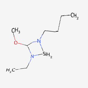 CCCCN1[SiH2]N(CC)C1OC